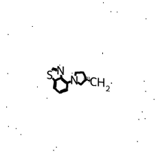 [CH2][C@@H]1CCN(c2cccc3scnc23)C1